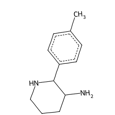 Cc1ccc(C2NCCCC2N)cc1